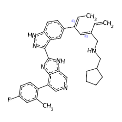 C=C/C(=C\C(=C/C)c1ccc2[nH]nc(-c3nc4c(-c5ccc(F)cc5C)cncc4[nH]3)c2c1)CNCC1CCCC1